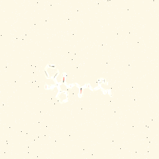 CC(C)COC(=O)COC(=O)C(O)(c1ccccc1)C1CCCC1